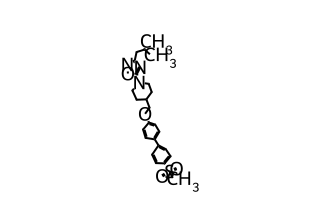 CC(C)Cc1noc(N2CCC(COc3ccc(-c4ccc(S(C)(=O)=O)cc4)cc3)CC2)n1